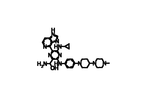 CN1CCN(C2CCN(c3ccc(Nc4nc(NC5CC5)c(-c5nccc6[nH]cnc56)nc4C(N)O)cc3)CC2)CC1